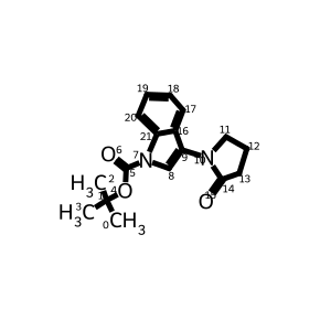 CC(C)(C)OC(=O)n1cc(N2CCCC2=O)c2ccccc21